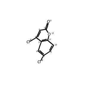 O=c1cc(Cl)c2cc(Cl)ccc2o1